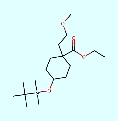 CCOC(=O)C1(CCOC)CCC(O[Si](C)(C)C(C)(C)C)CC1